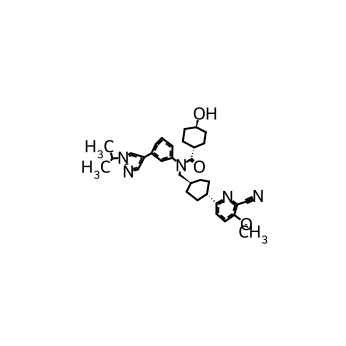 COc1ccc([C@H]2CC[C@H](CN(c3cccc(-c4cnn(C(C)C)c4)c3)C(=O)[C@H]3CC[C@H](O)CC3)CC2)nc1C#N